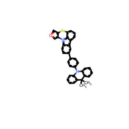 CC1(C)c2ccccc2N(c2ccc(-c3ccc4c(c3)c3cccc5c3n4-c3cocc3S5)cc2)c2ccccc21